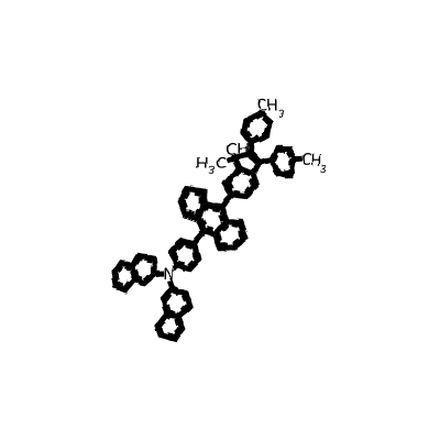 Cc1ccc(C2=C(c3ccc(C)cc3)C(C)(C)c3cc(-c4c5ccccc5c(-c5ccc(N(c6ccc7ccccc7c6)c6ccc7ccccc7c6)cc5)c5ccccc45)ccc32)cc1